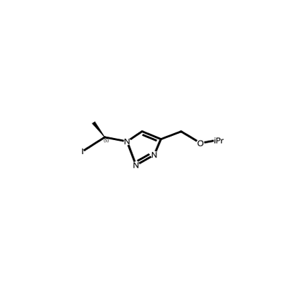 CC(C)OCc1cn([C@H](C)I)nn1